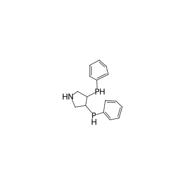 c1ccc(PC2CNCC2Pc2ccccc2)cc1